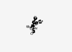 CN1CCN(C(=O)Cn2c(-c3ccncc3)ccc(-c3cc(NCc4ccc(Cl)s4)n(C(=O)C(C)(C)C)n3)c2=O)CC1